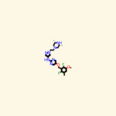 COc1cc(C)c(F)c(COc2cnc(Nc3cnn(CCN4C[C@@H](C)N[C@@H](C)C4)c3)nc2)c1F